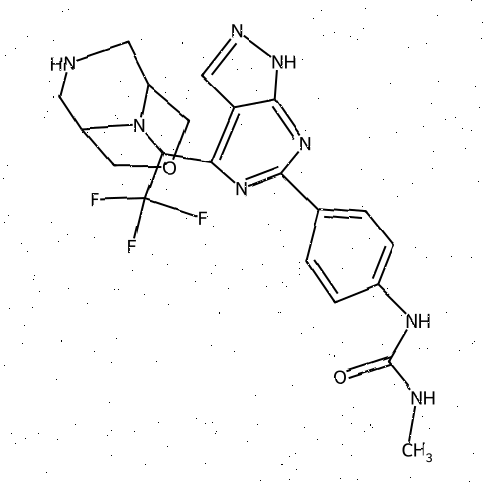 CNC(=O)Nc1ccc(-c2nc(C(N3C4CNCC3COC4)C(F)(F)F)c3cn[nH]c3n2)cc1